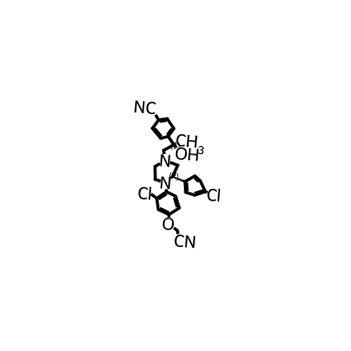 C[C@@](O)(CN1CCN(c2ccc(OCC#N)cc2Cl)[C@H](c2ccc(Cl)cc2)C1)c1ccc(C#N)cc1